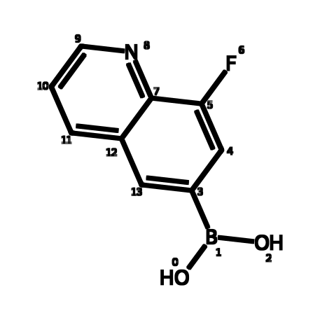 OB(O)c1cc(F)c2ncccc2c1